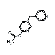 NC(=O)Oc1ccc(Cc2ccncc2)cn1